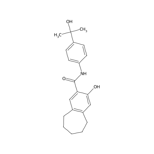 CC(C)(O)c1ccc(NC(=O)c2cc3c(cc2O)CCCCC3)cc1